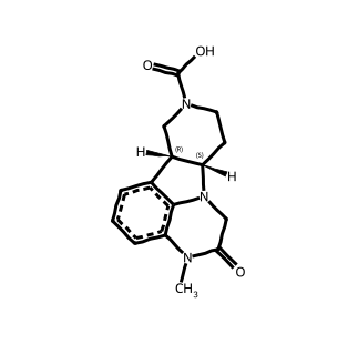 CN1C(=O)CN2c3c(cccc31)[C@@H]1CN(C(=O)O)CC[C@@H]12